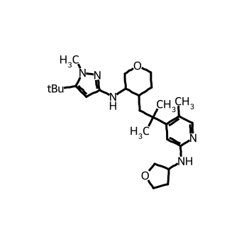 Cc1cnc(NC2CCOC2)cc1C(C)(C)CC1CCOCC1Nc1cc(C(C)(C)C)n(C)n1